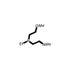 CCN(CCNC)CCOC